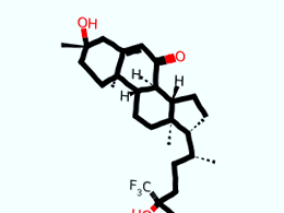 C[C@H](CCC(C)(O)C(F)(F)F)[C@H]1CC[C@H]2[C@@H]3C(=O)C=C4C[C@@](C)(O)CC[C@]4(C)[C@H]3CC[C@]12C